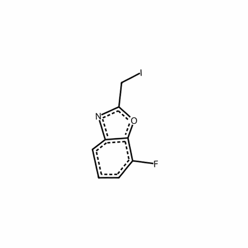 Fc1cccc2nc(CI)oc12